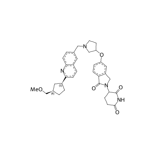 COC[C@@H]1CC[C@H](c2ccc3cc(CN4CCC(Oc5ccc6c(c5)CN(C5CCC(=O)NC5=O)C6=O)C4)ccc3n2)C1